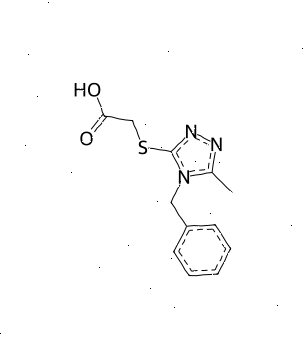 Cc1nnc(SCC(=O)O)n1Cc1ccccc1